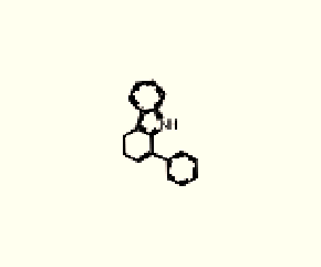 C1=C(c2ccccc2)c2[nH]c3ccccc3c2CC1